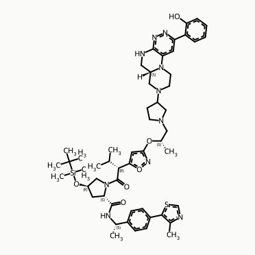 Cc1ncsc1-c1ccc([C@H](C)NC(=O)[C@@H]2C[C@@H](O[Si](C)(C)C(C)(C)C)CN2C(=O)[C@@H](c2cc(O[C@@H](C)CN3CCC(N4CCN5c6cc(-c7ccccc7O)nnc6NC[C@H]5C4)C3)no2)C(C)C)cc1